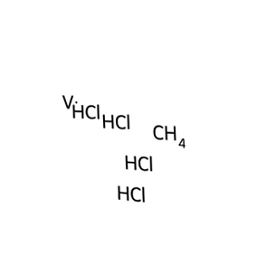 C.Cl.Cl.Cl.Cl.[V]